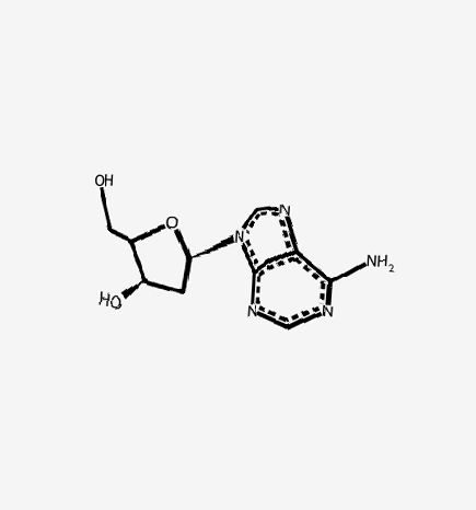 Nc1ncnc2c1ncn2[C@H]1C[C@@H](O)C(CO)O1